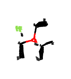 C=CC.C=COC=C.F